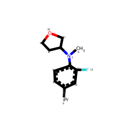 CC(C)c1ccc(N(C)C2CCOC2)c(F)c1